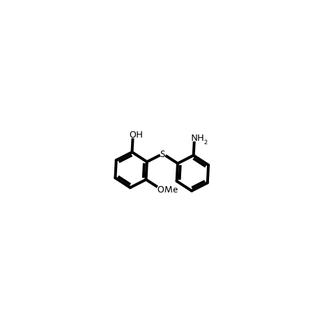 COc1cccc(O)c1Sc1ccccc1N